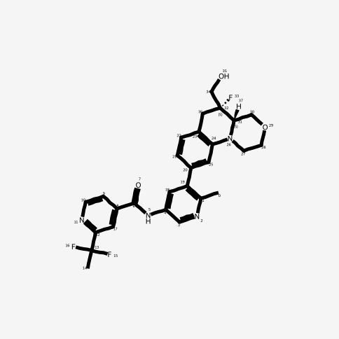 Cc1ncc(NC(=O)c2ccnc(C(C)(F)F)c2)cc1-c1ccc2c(c1)N1CCOC[C@H]1[C@](F)(CO)C2